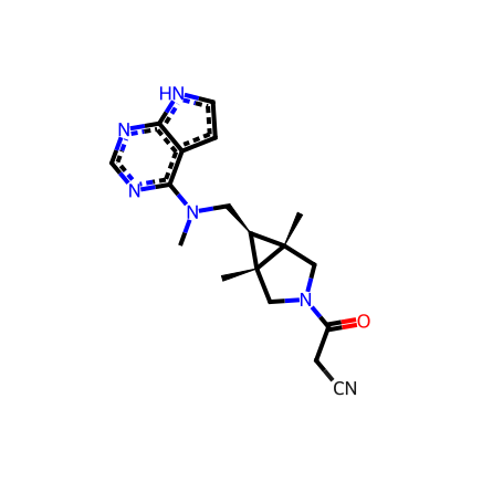 CN(C[C@H]1[C@]2(C)CN(C(=O)CC#N)C[C@]12C)c1ncnc2[nH]ccc12